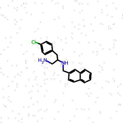 NCC(Cc1ccc(Cl)cc1)NCc1ccc2ccccc2c1